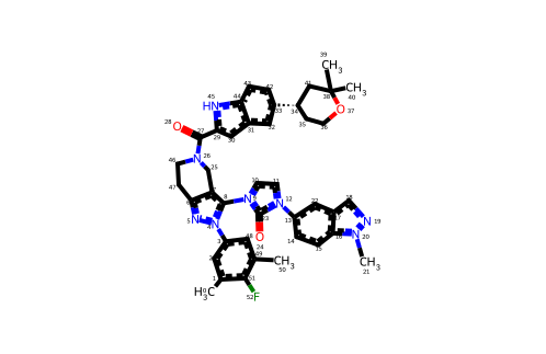 Cc1cc(-n2nc3c(c2-n2ccn(-c4ccc5c(cnn5C)c4)c2=O)CN(C(=O)c2cc4cc([C@H]5CCOC(C)(C)C5)ccc4[nH]2)CC3)cc(C)c1F